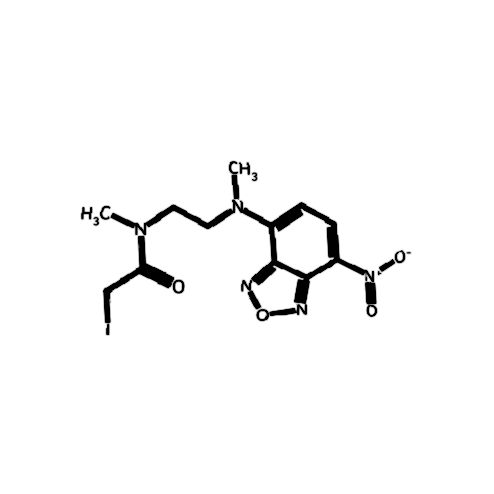 CN(CCN(C)c1ccc([N+](=O)[O-])c2nonc12)C(=O)CI